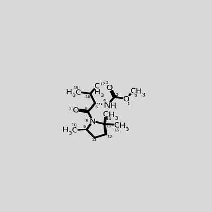 COC(=O)N[C@H](C(=O)N1[C@H](C)CCC1(C)C)C(C)C